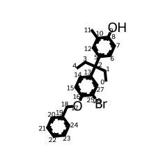 CCC(CC)(c1ccc(O)c(C)c1)c1ccc(OCc2ccccc2)c(Br)c1